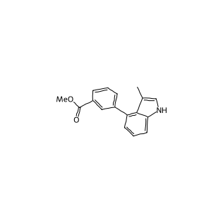 COC(=O)c1cccc(-c2cccc3[nH]cc(C)c23)c1